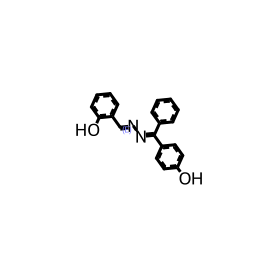 Oc1ccc(C(=N/N=C/c2ccccc2O)c2ccccc2)cc1